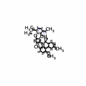 C/C=C(\C=C/C(COc1nnc(NC(=O)c2cnc(C)cc2-c2cc(Cl)ccc2OC)s1)=C(C)C)CO